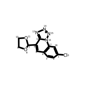 Clc1ccc2cc(C3OCCO3)c3nnnn3c2c1